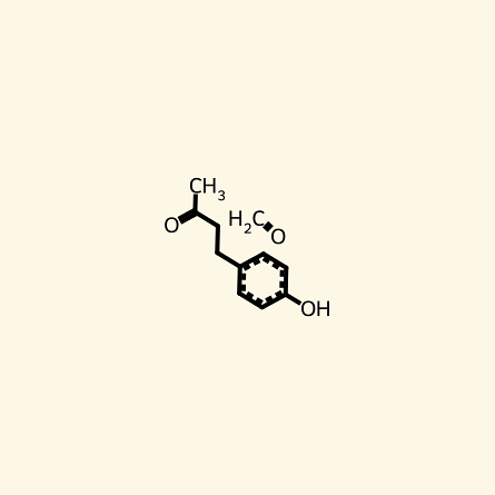 C=O.CC(=O)CCc1ccc(O)cc1